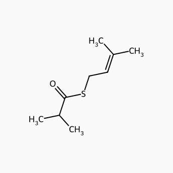 CC(C)=CCSC(=O)C(C)C